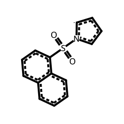 O=S(=O)(c1cccc2ccccc12)n1[c]ccc1